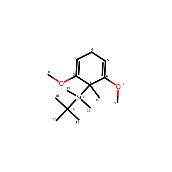 COC1=CCC=C(OC)C1(C)[Si](C)(C)C(C)(C)C